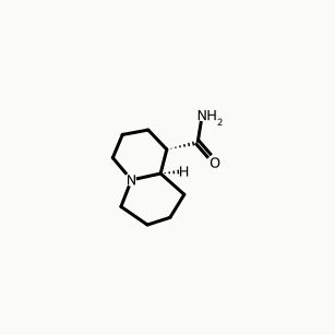 NC(=O)[C@H]1CCCN2CCCC[C@H]12